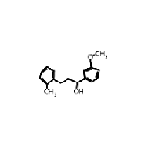 COc1cccc(C(O)CCc2ccccc2C)c1